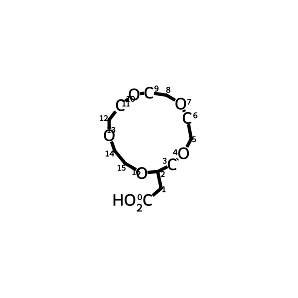 O=C(O)CC1COCCOCCOCCOCCO1